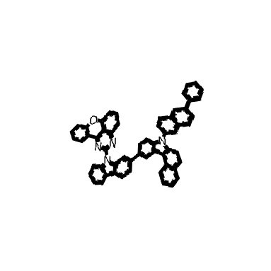 c1ccc(-c2ccc3cc(-n4c5ccc(-c6ccc7c8ccccc8n(-c8nc9c%10c(cccc%10n8)Oc8ccccc8-9)c7c6)cc5c5c6ccccc6ccc54)ccc3c2)cc1